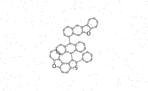 c1ccc(-c2sc3ccc4oc5ccccc5c4c3c2-c2c3ccccc3c(-c3cccc4cc5c(cc34)oc3ccccc35)c3ccccc23)cc1